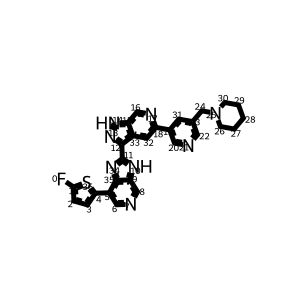 Fc1ccc(-c2cncc3[nH]c(-c4n[nH]c5cnc(-c6cncc(CN7CCCCC7)c6)cc45)nc23)s1